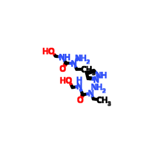 CCN(N)C(=O)NCO.CCN(N)C(=O)NCO.c1cn[nH]c1